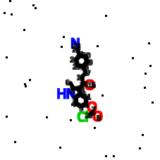 Cc1[nH]c2ccc(OC(=O)Cl)cc2c1C(=O)CCc1ccc(C#N)cc1